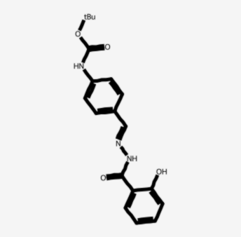 CC(C)(C)OC(=O)Nc1ccc(/C=N/NC(=O)c2ccccc2O)cc1